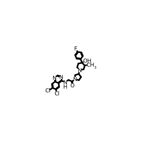 CC1CN(C2CCN(C(=O)CNc3ncnc4cc(Cl)c(Cl)cc34)C2)CCC1(O)c1ccc(F)cc1